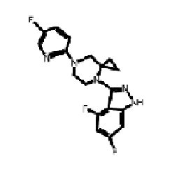 Fc1ccc(N2CCN(c3n[nH]c4cc(F)cc(F)c34)C3(CC3)C2)nc1